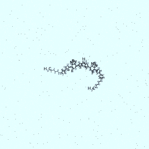 CCCCCCc1ccc(-c2ccc(-c3c(F)cc(-c4cc5c(s4)-c4sc(-c6cc(F)c(-c7ccc(-c8ccc(CCCCCC)s8)s7)c7nsnc67)cc4[SiH2]5)c4nsnc34)s2)s1